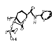 O=C(Nc1nccs1)[C@@H]1CC[C@@H]2CN1C(=O)N2OS(=O)(=O)O